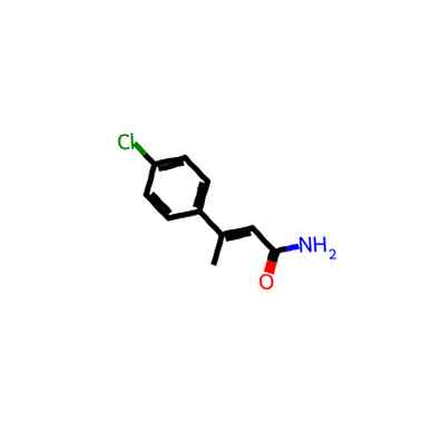 CC(=CC(N)=O)c1ccc(Cl)cc1